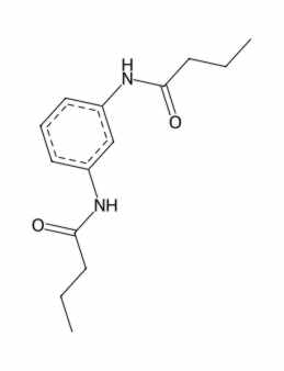 CCCC(=O)Nc1cccc(NC(=O)CCC)c1